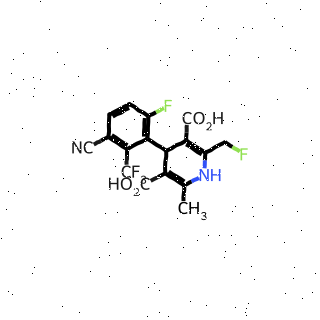 CC1=C(C(=O)O)C(c2c(F)ccc(C#N)c2C(F)(F)F)C(C(=O)O)=C(CF)N1